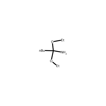 CCCCC(N)(OCC)OCC